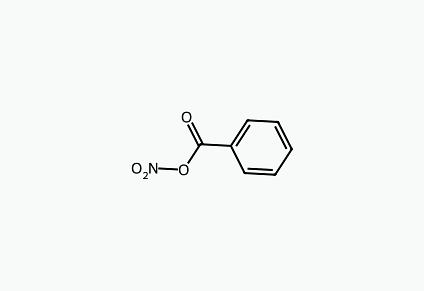 O=C(O[N+](=O)[O-])c1ccccc1